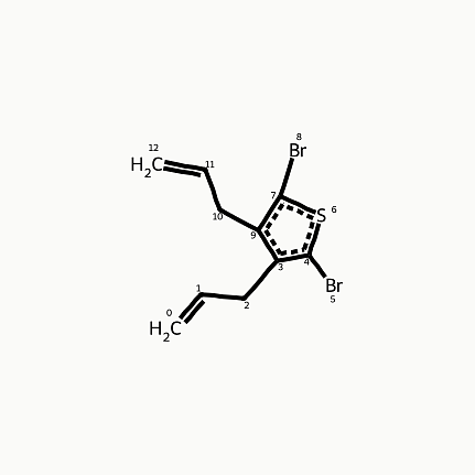 C=CCc1c(Br)sc(Br)c1CC=C